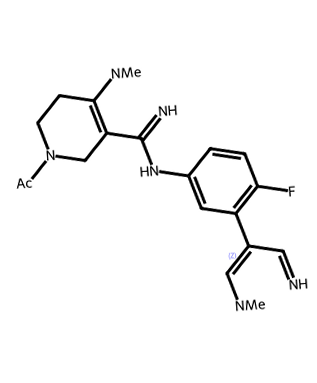 CN/C=C(\C=N)c1cc(NC(=N)C2=C(NC)CCN(C(C)=O)C2)ccc1F